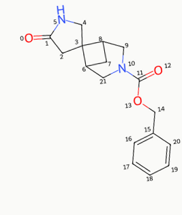 O=C1CC2(CN1)C1CC2CN(C(=O)OCc2ccccc2)C1